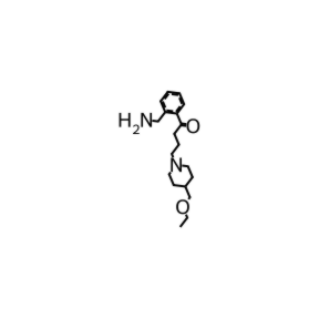 CCOCC1CCN(CCCC(=O)c2ccccc2CN)CC1